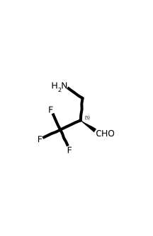 NC[C@@H](C=O)C(F)(F)F